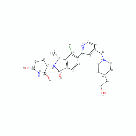 C[C@@H]1c2c(ccc(-c3cc(CN4CCC(CCO)CC4)ccn3)c2F)C(=O)N1[C@H]1CCC(=O)NC1=O